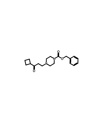 O=C(CCN1CCN(C(=O)OCc2ccccc2)CC1)C1CCC1